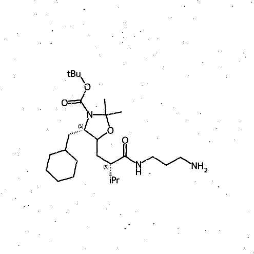 CC(C)[C@H](CC1OC(C)(C)N(C(=O)OC(C)(C)C)[C@H]1CC1CCCCC1)C(=O)NCCCN